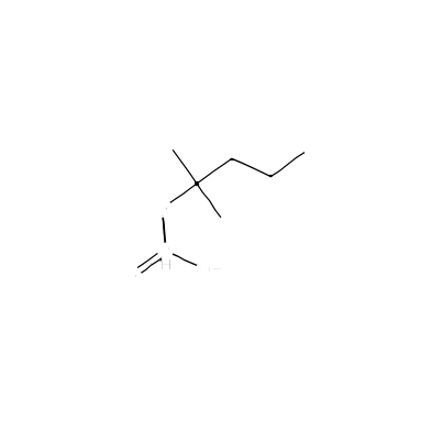 CCCC(C)(C)O[PH](=O)O